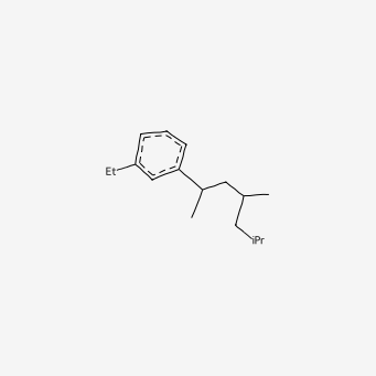 CCc1cccc(C(C)CC(C)CC(C)C)c1